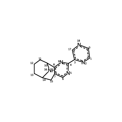 c1cnc(-c2ncc3c(n2)C2CCCC(C3)N2)cn1